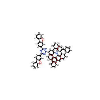 c1ccc(-c2cccc(N(c3cccc(-c4ccccc4)c3-c3ccccc3)c3c(-c4ccccc4)cc(-c4nc(-c5ccc6c(c5)oc5ccccc56)nc(-c5ccc6c(c5)oc5ccccc56)n4)cc3-c3ccccc3)c2-c2ccccc2)cc1